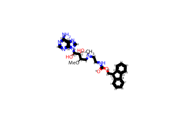 CO[C@H](CN(C)CCNC(=O)OCC1c2ccccc2-c2ccccc21)[C@@H](O)[C@@H](O)n1cnc2c(N)ncnc21